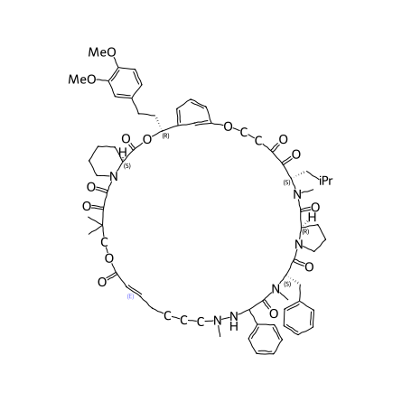 COc1ccc(CC[C@H]2OC(=O)[C@@H]3CCCCN3C(=O)C(=O)C(C)(C)COC(=O)/C=C/CCCCN(C)NC(c3ccccc3)C(=O)N(C)[C@@H](Cc3ccccc3)C(=O)N3CCC[C@@H]3C(=O)N(C)[C@@H](CC(C)C)C(=O)C(=O)CCOc3cccc2c3)cc1OC